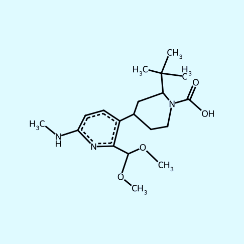 CNc1ccc(C2CCN(C(=O)O)C(C(C)(C)C)C2)c(C(OC)OC)n1